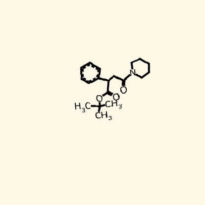 CC(C)(C)OC(=O)C(CC(=O)N1CCCCC1)c1ccccc1